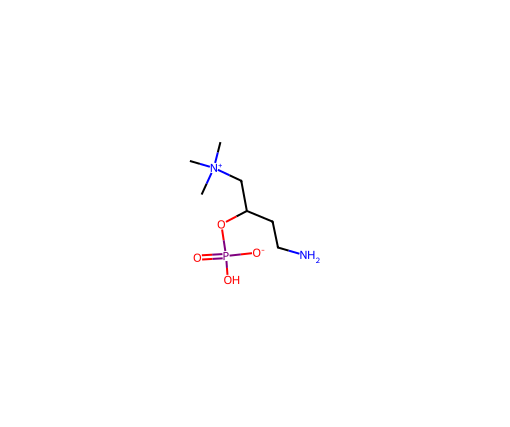 C[N+](C)(C)CC(CCN)OP(=O)([O-])O